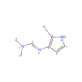 CN(C)/C=N/c1cc[nH]c1I